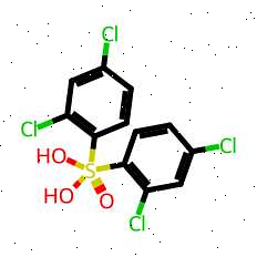 O=S(O)(O)(c1ccc(Cl)cc1Cl)c1ccc(Cl)cc1Cl